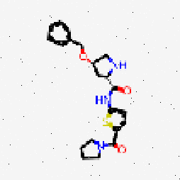 O=C(Nc1ccc(C(=O)N2CCCC2)s1)[C@@H]1C[C@@H](OCc2ccccc2)CN1